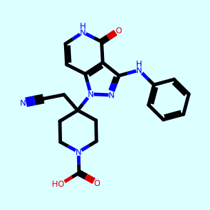 N#CCC1(n2nc(Nc3ccccc3)c3c(=O)[nH]ccc32)CCN(C(=O)O)CC1